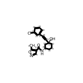 Cc1oncc1C(=O)N[C@H]1CCC[C@@](O)(C#Cc2cccc(Cl)c2)C1